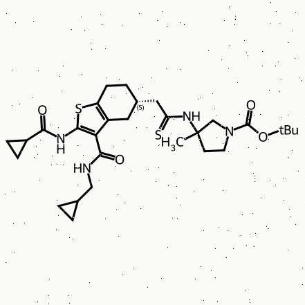 CC1(NC(=S)C[C@H]2CCc3sc(NC(=O)C4CC4)c(C(=O)NCC4CC4)c3C2)CCN(C(=O)OC(C)(C)C)C1